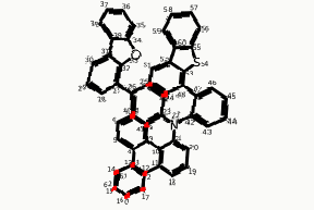 c1ccc(-c2ccccc2-c2c(-c3ccccc3)cccc2N(c2ccc(-c3cccc4c3oc3ccccc34)cc2)c2ccccc2-c2cccc3c2sc2ccccc23)cc1